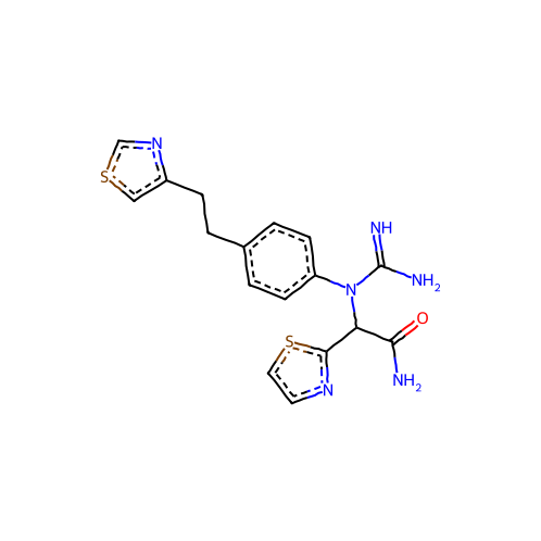 N=C(N)N(c1ccc(CCc2cscn2)cc1)C(C(N)=O)c1nccs1